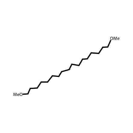 COCCCCCCCC[CH]CCCCCCCCOC